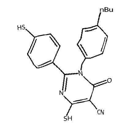 CCCCc1ccc(-n2c(-c3ccc(S)cc3)nc(S)c(C#N)c2=O)cc1